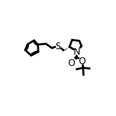 CC(C)(C)OC(=O)N1CCC[C@H]1CSCCc1ccccc1